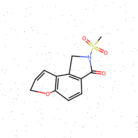 CS(=O)(=O)N1Cc2c(ccc3c2C=CCO3)C1=O